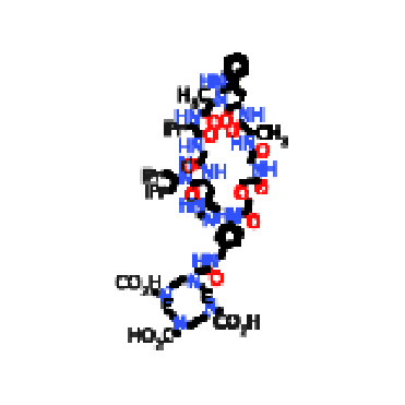 CC(C)CC(CC(C)C)NC(=O)[C@H](Cc1cnc[nH]1)NC(=O)CNC(=O)C(NC(=O)[C@H](C)NC(=O)[C@H](Cc1c[nH]c2ccccc12)NC(=O)[C@H](C)NC(=O)CNC(=O)COCC(=O)Nc1ccc(CNC(=O)CN2CCN(CC(=O)O)CCN(CC(=O)O)CCN(CC(=O)O)CC2)cc1)C(C)C